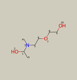 CC(O)N(C)CCOCCO